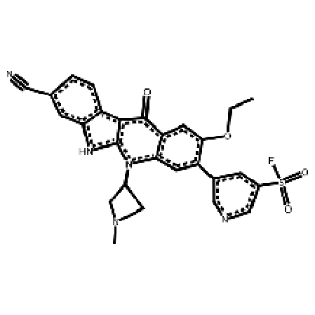 CCOc1cc2c(=O)c3c4ccc(C#N)cc4[nH]c3n(C3CN(C)C3)c2cc1-c1cncc(S(=O)(=O)F)c1